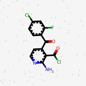 Nc1nccc(C(=O)c2ccc(Cl)cc2F)c1C(=O)Cl